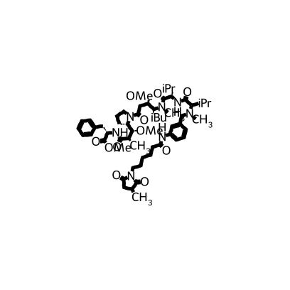 CC[C@H](C)C([C@@H](CC(=O)N1CCC[C@H]1[C@H](OC)[C@@H](C)C(=O)N[C@@H](Cc1ccccc1)C(=O)OC)OC)N(C)C(=O)[C@@H](NC(=O)C(C(C)C)N(C)Cc1cccc(NC(=O)CCCCCN2C(=O)CC(C)C2=O)c1)C(C)C